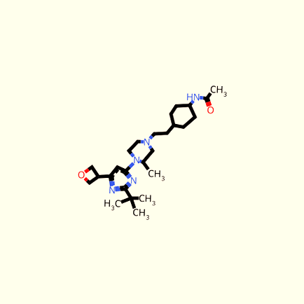 CC(=O)NC1CCC(CCN2CCN(c3cc(C4COC4)nc(C(C)(C)C)n3)C(C)C2)CC1